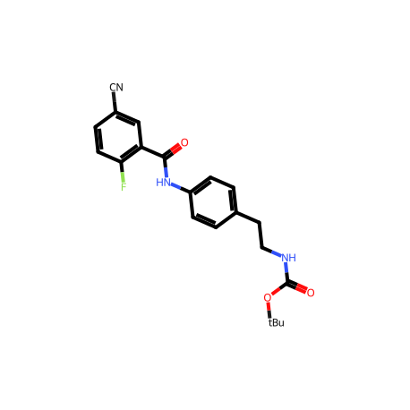 CC(C)(C)OC(=O)NCCc1ccc(NC(=O)c2cc(C#N)ccc2F)cc1